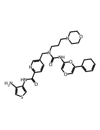 Nc1cscc1NC(=O)c1ccc(CN(CCCN2CCOCC2)C(=O)NC2=COC=C(C3=CC=CCC3)O2)cn1